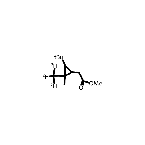 [2H]C([2H])([2H])C1(C)C(CC(=O)OC)C1C(C)(C)C